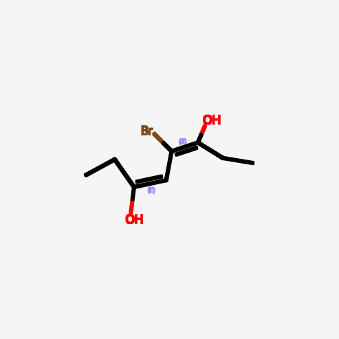 CC/C(O)=C(Br)\C=C(\O)CC